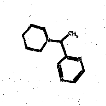 C[C](c1cnccn1)N1CCCCC1